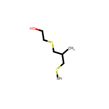 CCCSCC(C)CSCCO